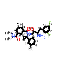 CCCN(CCC)C(=O)c1cc(C)cc(C(=O)N(C[C@@H](O)[C@@H](N)Cc2cc(F)cc(F)c2)C2(c3cccc(CC)c3)CC2)c1